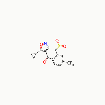 O=C(c1ccc(C(F)(F)F)cc1C=S(=O)=O)c1cnoc1C1CC1